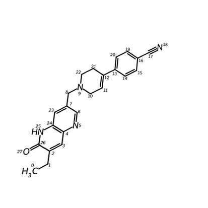 CCc1cc2ncc(CN3CC=C(c4ccc(C#N)cc4)CC3)cc2[nH]c1=O